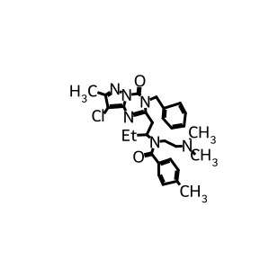 CCC(Cc1nc2c(Cl)c(C)nn2c(=O)n1Cc1ccccc1)N(CCN(C)C)C(=O)c1ccc(C)cc1